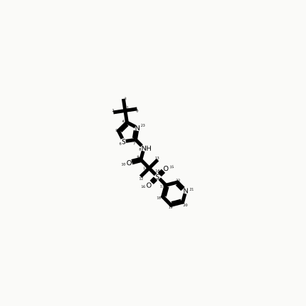 CC(C)(C)c1csc(NC(=O)C(C)(C)S(=O)(=O)c2cccnc2)n1